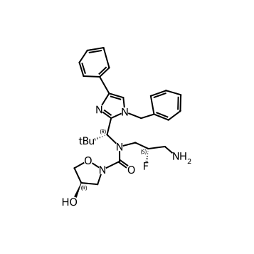 CC(C)(C)[C@H](c1nc(-c2ccccc2)cn1Cc1ccccc1)N(C[C@@H](F)CN)C(=O)N1C[C@@H](O)CO1